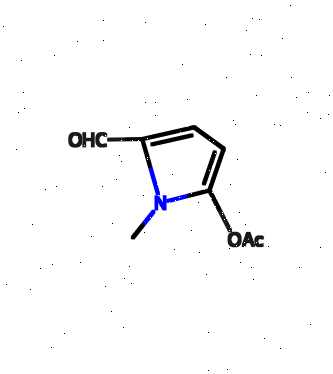 CC(=O)Oc1ccc(C=O)n1C